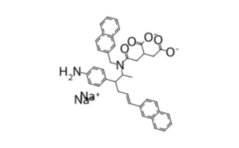 CC(C(C/C=C/c1ccc2ccccc2c1)c1ccc(N)cc1)N(Cc1ccc2ccccc2c1)C(=O)CC(CC(=O)[O-])C(=O)[O-].[Na+].[Na+]